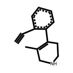 C#Cc1ccccc1C1=C(C)CNCC1